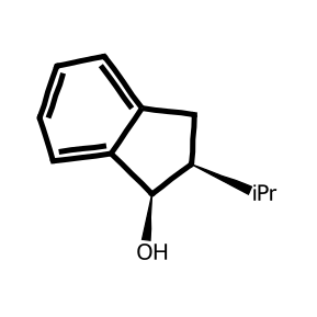 CC(C)[C@@H]1Cc2ccccc2[C@@H]1O